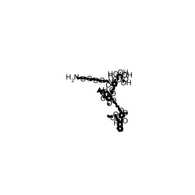 C=CCOC(=O)N1C[C@@H]2Cc3ccccc3CN2C(=O)c2cc(OC)c(OCCCCCOc3cc4c(cc3OC)C(=O)N3CC5(CC5)C[C@H]3CN4C(=O)OCc3ccc(O[C@@H]4O[C@H](C(=O)O)[C@@H](O)[C@H](O)[C@H]4O)c(NC(=O)CCOCCOCCOCCOCCN)c3)cc21